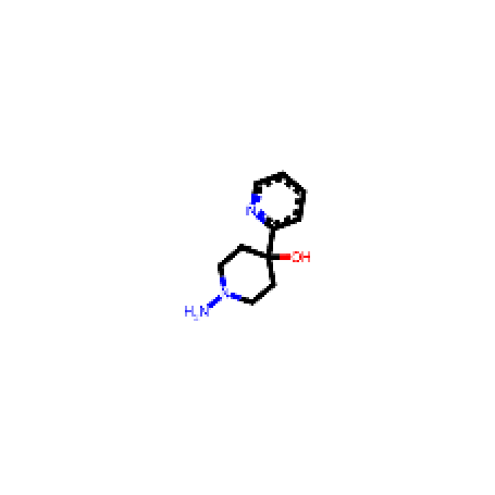 NN1CCC(O)(c2ccccn2)CC1